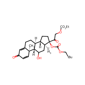 CCOC(=O)OCC(=O)[C@@]1(OC(=O)OCC(C)CC)CC[C@H]2[C@@H]3CCC4=CC(=O)C=C[C@]4(C)[C@H]3C(O)C[C@@]21C